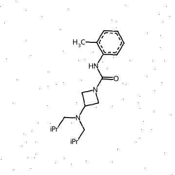 Cc1ccccc1NC(=O)N1CC(N(CC(C)C)CC(C)C)C1